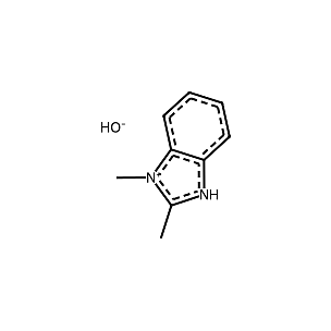 Cc1[nH]c2ccccc2[n+]1C.[OH-]